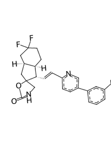 O=C1NCC2(C[C@H]3CC(F)(F)CC[C@H]3[C@@H]2/C=C/c2ccc(-c3cccc(F)c3)cn2)O1